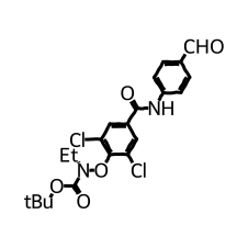 CCN(Oc1c(Cl)cc(C(=O)Nc2ccc(C=O)cc2)cc1Cl)C(=O)OC(C)(C)C